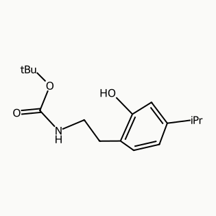 CC(C)c1ccc(CCNC(=O)OC(C)(C)C)c(O)c1